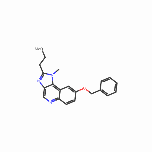 COCCc1nc2cnc3ccc(OCc4ccccc4)cc3c2n1C